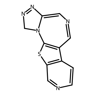 C1=NC=C2N=NCN2c2sc3cnccc3c21